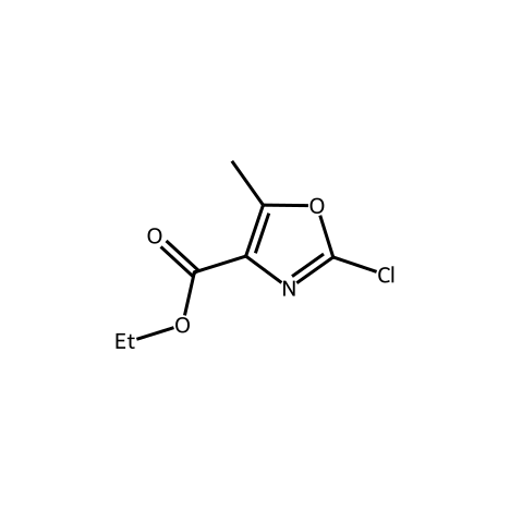 CCOC(=O)c1nc(Cl)oc1C